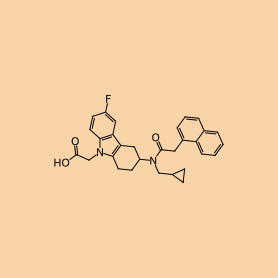 O=C(O)Cn1c2c(c3cc(F)ccc31)CC(N(CC1CC1)C(=O)Cc1cccc3ccccc13)CC2